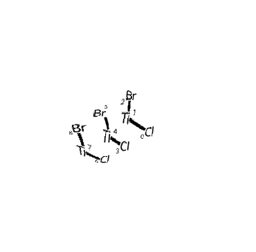 [Cl][Ti][Br].[Cl][Ti][Br].[Cl][Ti][Br]